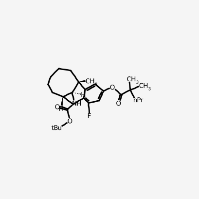 CCCC(C)(C)C(=O)Oc1cc(F)c2c(c1)[C@@]1(C)CCCCC[C@@H](C2)[C@@H]1NC(=O)OC(C)(C)C